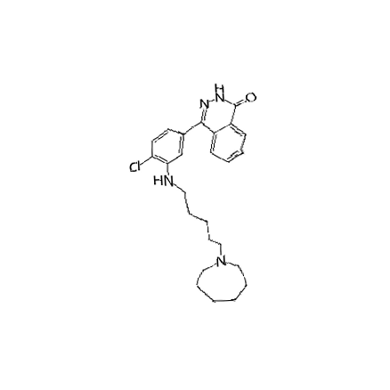 O=c1[nH]nc(-c2ccc(Cl)c(NCCCCCN3CCCCCC3)c2)c2ccccc12